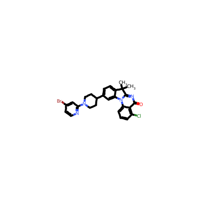 CC1(C)c2ccc(C3CCN(c4cc(Br)ccn4)CC3)cc2-n2c1nc(=O)c1c(Cl)cccc12